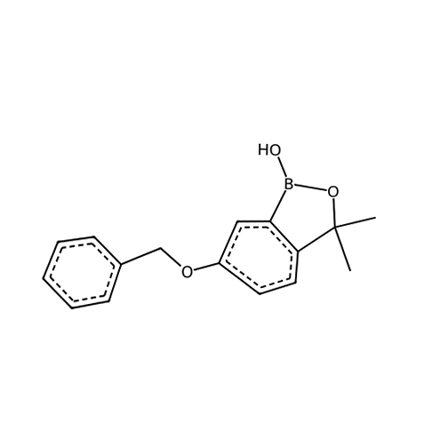 CC1(C)OB(O)c2cc(OCc3ccccc3)ccc21